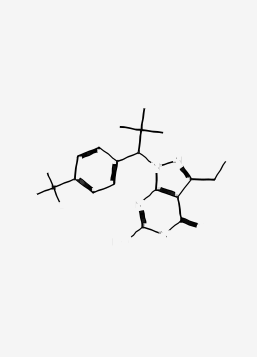 CCc1nn(C(c2ccc(C(F)(F)F)cc2)C(C)(C)C)c2nc(O)[nH]c(=O)c12